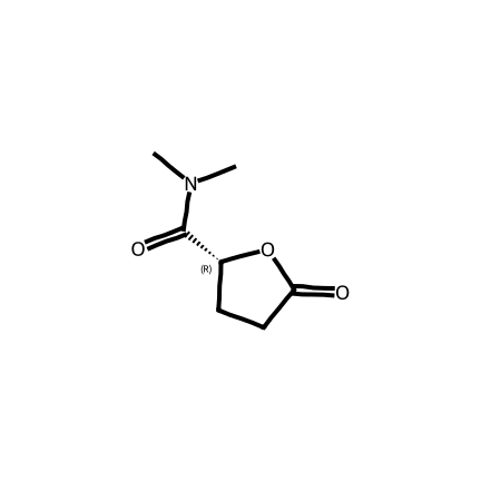 CN(C)C(=O)[C@H]1CCC(=O)O1